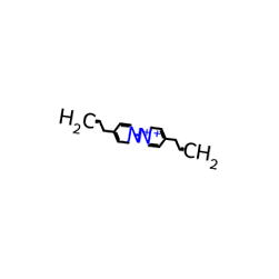 C=CCc1cc[n+](-[n+]2ccc(CC=C)cc2)cc1